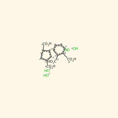 Cl.Cl.Cl.Cl.O=C(O)c1ccc(C(=O)O)cc1.O=C(O)c1ccccc1C(=O)O